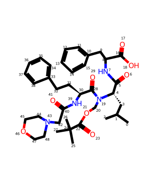 CC(C)C[C@@H](C(=O)NC(Cc1ccccc1)C(=O)O)N(COC(=O)C(C)(C)C)C(=O)[C@H](CCc1ccccc1)NC(=O)CN1CCOCC1